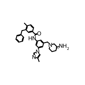 Cc1cn(-c2cc(CN3CCC[C@H](N)C3)cc(NC(=O)c3ccc(C)c(Cc4ccccc4)c3)c2)cn1